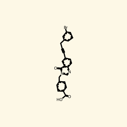 O=C(O)c1ccc(Cn2cnc3ccc(C#CCc4cccc(Br)c4)cc3c2=O)cc1